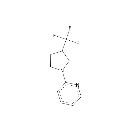 FC(F)(F)C1CCN(c2[c]cccn2)C1